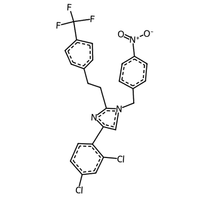 O=[N+]([O-])c1ccc(Cn2cc(-c3ccc(Cl)cc3Cl)nc2CCc2ccc(C(F)(F)F)cc2)cc1